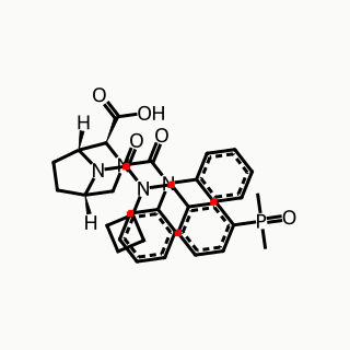 CP(C)(=O)c1cccc(CN(C(=O)N2[C@H]3CC[C@@H]2[C@@H](C(=O)O)N(C(=O)N(c2ccccc2)c2ccccc2)C3)C2CCC2)c1